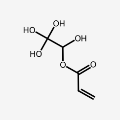 C=CC(=O)OC(O)C(O)(O)O